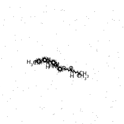 CC(C)CCCNC(=O)CCCOc1cccc(-c2nc3ccc(-c4nc5ccc(N6CCN(C)CC6)cc5[nH]4)cc3[nH]2)c1